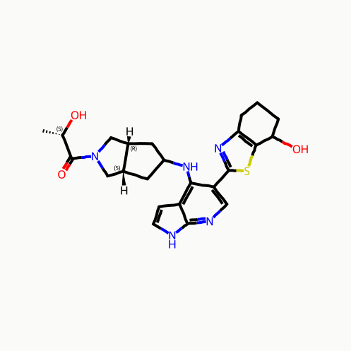 C[C@H](O)C(=O)N1C[C@H]2CC(Nc3c(-c4nc5c(s4)C(O)CCC5)cnc4[nH]ccc34)C[C@H]2C1